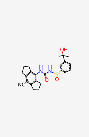 CC(C)(O)c1cccc([S+]([O-])NC(=O)Nc2c3c(c(C#N)c4c2CCC4)CCC3)c1